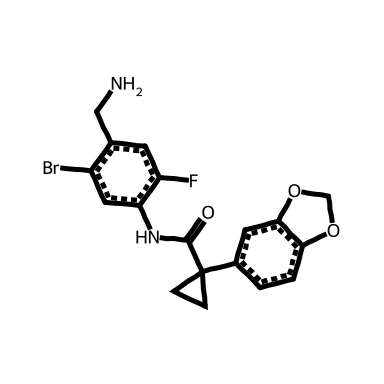 NCc1cc(F)c(NC(=O)C2(c3ccc4c(c3)OCO4)CC2)cc1Br